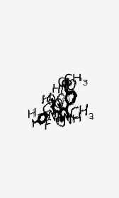 Cc1[nH]c(=O)c2c(Nc3ccc(I)cc3F)c(C)c(=O)oc2c1C1C=CC=C(NS(C)(=O)=O)[C@H]1C